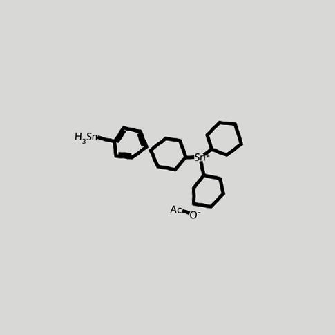 C1CC[CH]([Sn+]([CH]2CCCCC2)[CH]2CCCCC2)CC1.CC(=O)[O-].[SnH3][c]1ccccc1